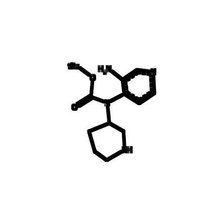 CC(C)(C)OC(=O)N(c1ccncc1N)C1CCCNC1